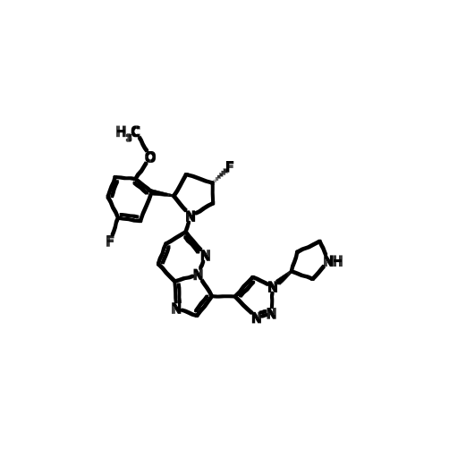 COc1ccc(F)cc1[C@H]1C[C@H](F)CN1c1ccc2ncc(-c3cn([C@H]4CCNC4)nn3)n2n1